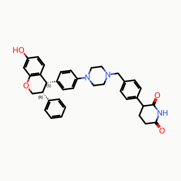 O=C1CCC(c2ccc(CN3CCN(c4ccc([C@H]5c6ccc(O)cc6OC[C@H]5c5ccccc5)cc4)CC3)cc2)C(=O)N1